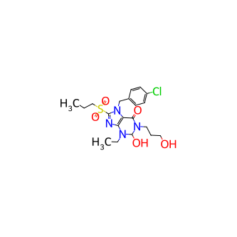 CCCS(=O)(=O)c1nc2c(n1Cc1ccc(Cl)cc1)C(=O)N(CCCO)C(O)N2CC